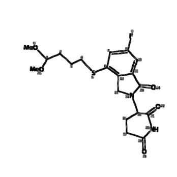 COC(CCCSc1cc(F)cc2c1CN(C1CCC(=O)NC1=O)C2=O)OC